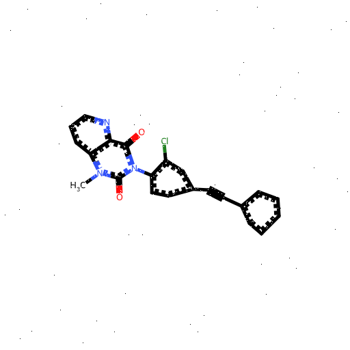 Cn1c(=O)n(-c2ccc(C#Cc3ccccc3)cc2Cl)c(=O)c2ncccc21